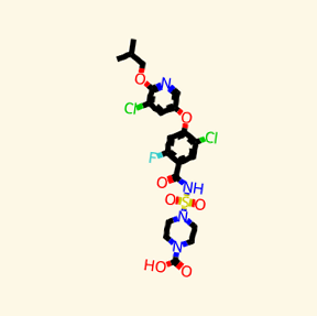 CC(C)COc1ncc(Oc2cc(F)c(C(=O)NS(=O)(=O)N3CCN(C(=O)O)CC3)cc2Cl)cc1Cl